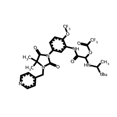 CC(NC(OC(=O)C(F)(F)F)C(=O)Nc1cc(N2C(=O)N(Cc3ccncc3)C(C)(C)C2=O)ccc1OC(F)(F)F)C(C)(C)C